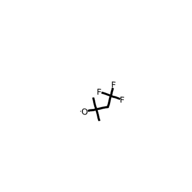 CC(C)([O])CC(F)(F)F